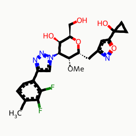 CO[C@@H]1[C@@H](n2cc(-c3ccc(C)c(F)c3F)nn2)[C@@H](O)[C@@H](CO)O[C@@H]1Cc1cc(C2(O)CC2)on1